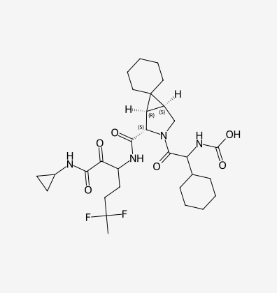 CC(F)(F)CCC(NC(=O)[C@@H]1[C@@H]2[C@H](CN1C(=O)C(NC(=O)O)C1CCCCC1)C21CCCCC1)C(=O)C(=O)NC1CC1